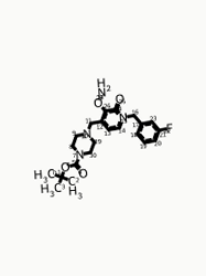 CC(C)(C)OC(=O)N1CCN(Cc2ccn(Cc3cccc(F)c3)c(=O)c2ON)CC1